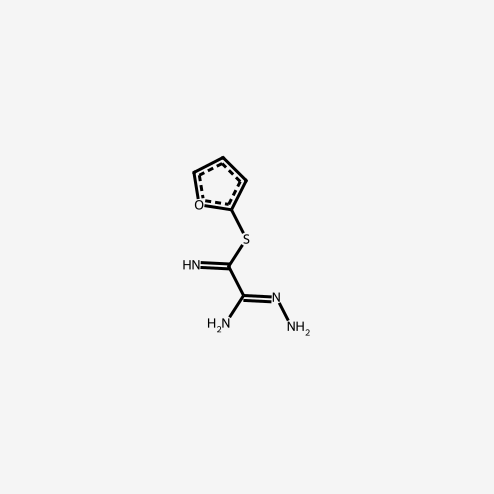 N=C(Sc1ccco1)C(N)=NN